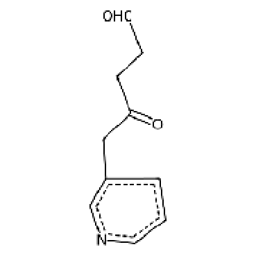 O=CCCC(=O)Cc1cccnc1